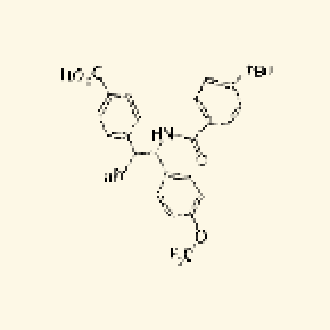 CCCC(c1ccc(C(=O)O)cc1)C(NC(=O)c1ccc(C(C)(C)C)cc1)c1ccc(OC(F)(F)F)cc1